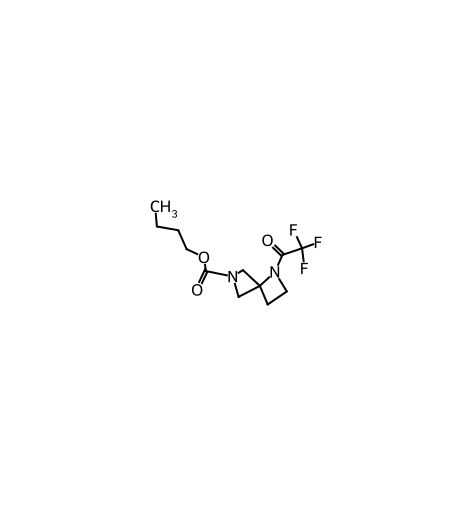 CCCCOC(=O)N1CC2(CCN2C(=O)C(F)(F)F)C1